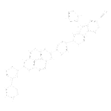 N#Cc1ccc2c3ccc(-c4ccc(-c5cc6ccc7cc(-c8cccc(-c9ccncc9)n8)cc8ccc(c5)c6c78)cc4)cc3n(-c3ccccc3)c2c1